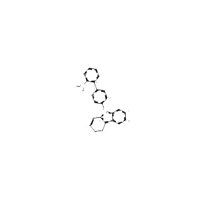 O=[N+]([O-])c1ccccc1-c1ccc(-n2c3c(c4ccccc42)CCC=C3)cc1